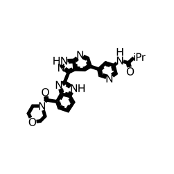 CC(C)C(=O)Nc1cncc(-c2cnc3[nH]nc(-c4nc5c(C(=O)N6CCOCC6)cccc5[nH]4)c3c2)c1